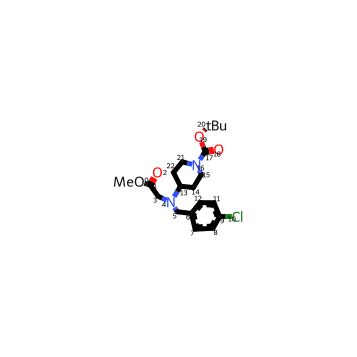 COC(=O)CN(Cc1ccc(Cl)cc1)C1CCN(C(=O)OC(C)(C)C)CC1